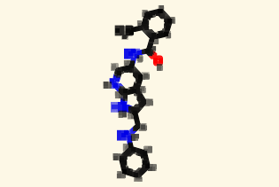 Bc1ccccc1C(=O)Nc1cnc2[nH]c(CNc3ccccc3)cc2c1